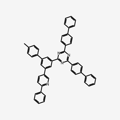 Cc1ccc(-c2cc(-c3ccc(-c4ccccc4)nc3)cc(-c3nc(-c4ccc(-c5ccccc5)cc4)nc(-c4ccc(-c5ccccc5)cc4)n3)c2)cc1